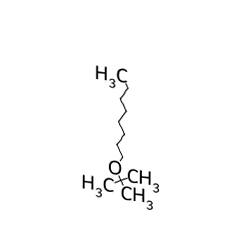 CCCCCCCCOC(C)(C)C